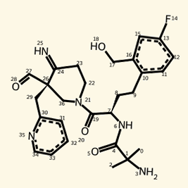 CC(C)(N)C(=O)N[C@H](CCc1ccc(F)cc1CO)C(=O)N1CCC(=N)[C@](C=O)(Cc2ccccn2)C1